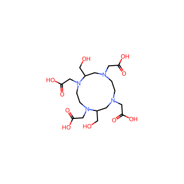 O=C(O)CN1CCN(CC(=O)O)CC(CO)N(CC(=O)O)CCN(CC(=O)O)C(CO)C1